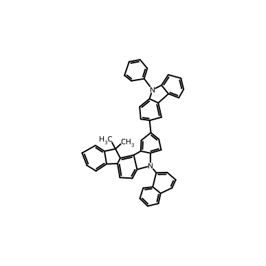 CC1(C)c2ccccc2-c2ccc3c(c21)c1cc(-c2ccc4c(c2)c2ccccc2n4-c2ccccc2)ccc1n3-c1cccc2ccccc12